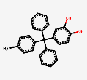 Cc1ccc(C(c2ccccc2)(c2ccccc2)c2ccc(O)c(O)c2)cc1